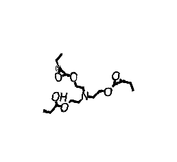 CCC(O)OCCN(CCOC1OC1CC)CCOC1O[C@H]1CC